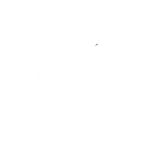 N#Cc1ccc2nccc(OC[C@H]3CC[C@H](C(=O)O)CC3)c2c1